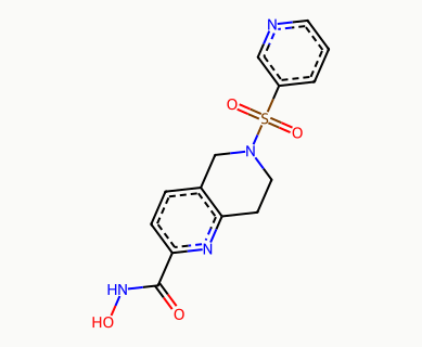 O=C(NO)c1ccc2c(n1)CCN(S(=O)(=O)c1cccnc1)C2